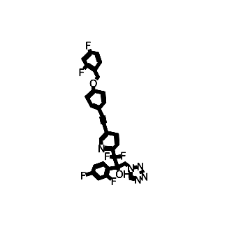 OC(Cn1cnnn1)(c1ccc(F)cc1F)C(F)(F)c1ccc(C#Cc2ccc(OCc3ccc(F)cc3F)cc2)cn1